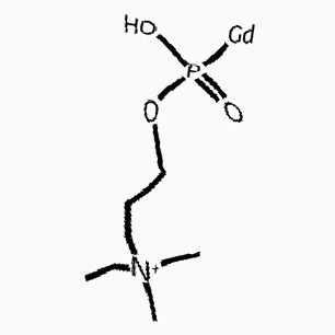 C[N+](C)(C)CCO[P](=O)(O)[Gd]